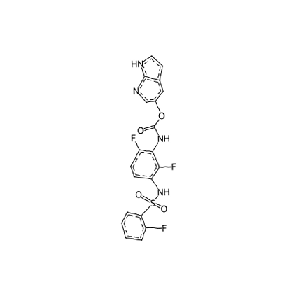 O=C(Nc1c(F)ccc(NS(=O)(=O)c2ccccc2F)c1F)Oc1cnc2[nH]ccc2c1